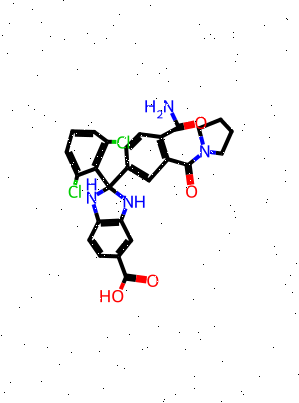 NC(=O)c1ccc(C2(c3c(Cl)cccc3Cl)Nc3ccc(C(=O)O)cc3N2)cc1C(=O)N1CCCC1